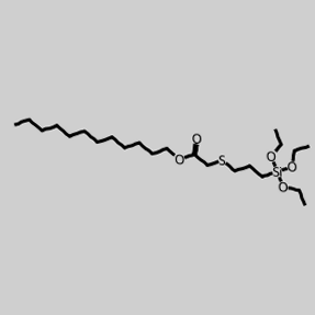 CCCCCCCCCCCCOC(=O)CSCCC[Si](OCC)(OCC)OCC